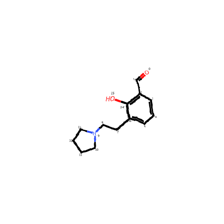 O=Cc1cccc(CCN2CCCC2)c1O